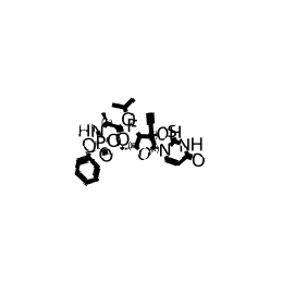 C#C[C@@]1(O)C(F)[C@@H](COP(=O)(N[C@@H](C)C(=O)OC(C)C)Oc2ccccc2)O[C@H]1n1ccc(=O)[nH]c1=S